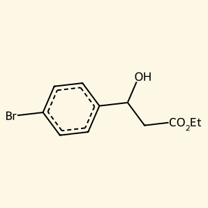 CCOC(=O)CC(O)c1ccc(Br)cc1